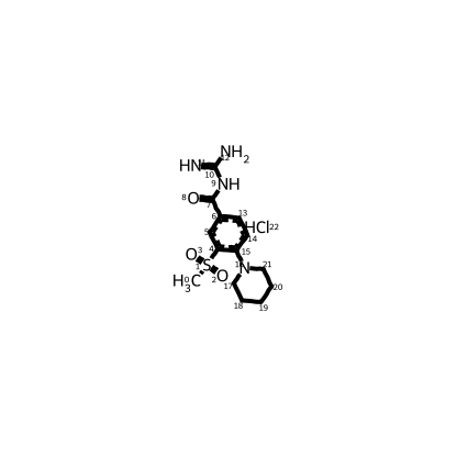 CS(=O)(=O)c1cc(C(=O)NC(=N)N)ccc1N1CCCCC1.Cl